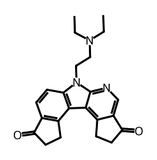 CCN(CC)CCn1c2ccc3c(c2c2c4c(cnc21)C(=O)CC4)CCC3=O